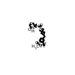 CS(=O)(=O)c1ccc(CC2CC3(C2)CN(C(=O)N2CC4(COCC(=O)N4)C2)C3)cc1C(F)(F)F